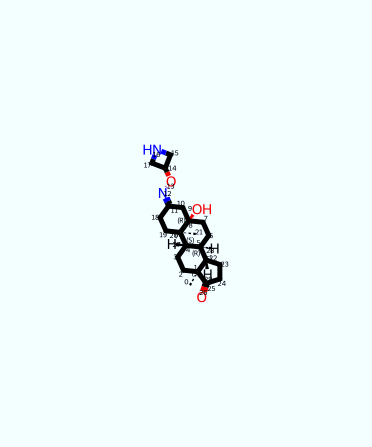 C[C@]12CC[C@H]3[C@@H](CC[C@@]4(O)CC(=NOC5CNC5)CC[C@]34C)[C@@H]1CCC2=O